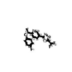 CC(Oc1ccc(F)cc1)c1ccc(-c2nnc(C(F)F)o2)cn1